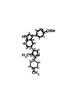 COc1ccc(-c2c[nH]c3ncc(-c4cnn(C5CCN(C)CC5)c4C)cc23)cn1